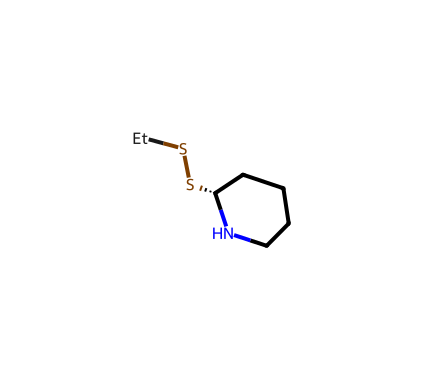 CCSS[C@@H]1CCCCN1